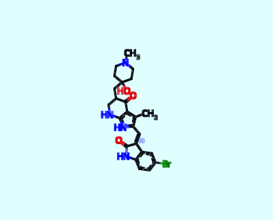 Cc1c(/C=C2\C(=O)Nc3ccc(Br)cc32)[nH]c2c1C(=O)C(CC1(O)CCN(C)CC1)CN2